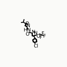 CC(C)c1cc(CNC(=O)c2cc(-c3ccc(Cl)cc3)c(OCC(F)(F)F)nn2)no1